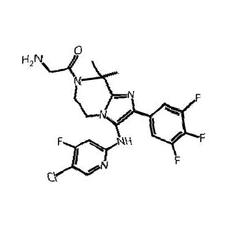 CC1(C)c2nc(-c3cc(F)c(F)c(F)c3)c(Nc3cc(F)c(Cl)cn3)n2CCN1C(=O)CN